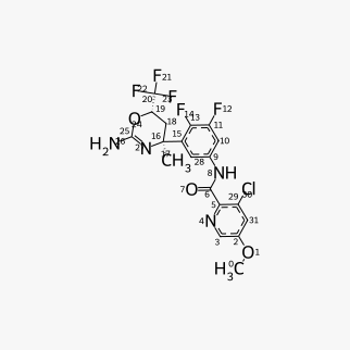 COc1cnc(C(=O)Nc2cc(F)c(F)c([C@]3(C)C[C@@H](C(F)(F)F)OC(N)=N3)c2)c(Cl)c1